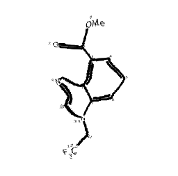 COC(=O)c1cccc2c1ncn2CC(F)(F)F